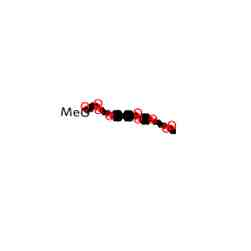 C=CC(=O)OCCCCOc1ccc(OC(=O)c2ccc(-c3ccc(OCCCOC(=O)C(=C)CC(=O)OC)cc3)cc2)cc1